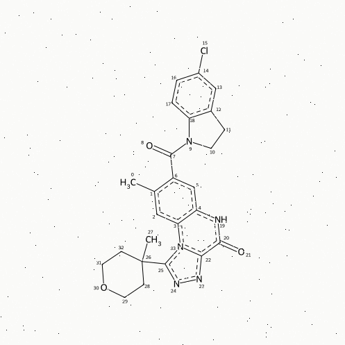 Cc1cc2c(cc1C(=O)N1CCc3cc(Cl)ccc31)[nH]c(=O)c1nnc(C3(C)CCOCC3)n12